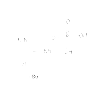 CCCCN=C(N)NOP(=O)(O)O